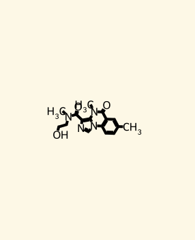 Cc1ccc2c(c1)c(=O)n(C)c1c(C(=O)N(C)CCO)ncn21